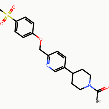 CC(C)C(=O)N1CCC(c2ccc(COc3ccc(S(C)(=O)=O)cc3)nc2)CC1